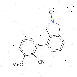 COc1cccc(-c2cccc3c2CN(C#N)C3)c1C#N